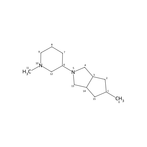 CC1CC2CN(C3CCCN(C)C3)CC2C1